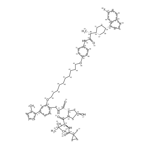 Cc1ncsc1-c1ccc(CNC(=O)[C@@H]2C[C@@H](O)CN2C(=O)[C@@H](NC(=O)C2(F)CC2)C(C)(C)C)c(OCCCCCCCCCCOc2ccc(NC(=O)[C@H](C)[C@H]3CC[C@@H](c4ccnc5ccc(F)cc54)CC3)cc2)c1